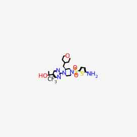 C[C@](O)(c1cnc(N2CCN(S(=O)(=O)c3ccc(N)s3)C[C@@H]2CC2CCOCC2)nc1)C(F)(F)F